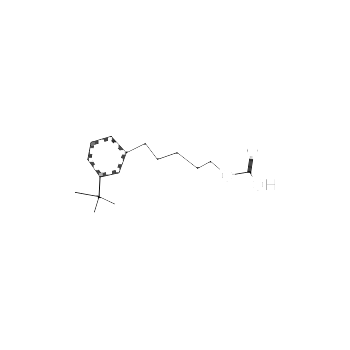 CC(C)(C)c1cccc(CCCCCOC(=O)O)c1